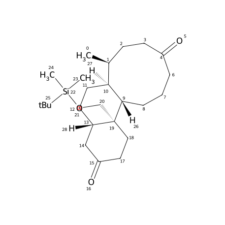 C[C@H]1CCC(=O)CCC[C@H]2[C@H]1CC[C@H]1CC(=O)CC[C@@]12CO[Si](C)(C)C(C)(C)C